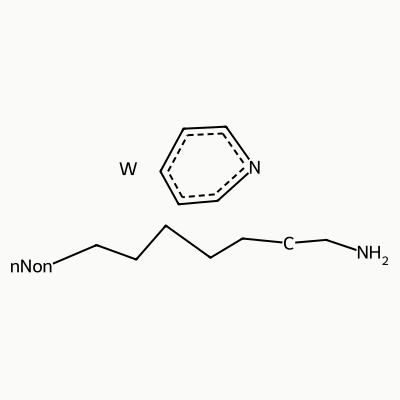 CCCCCCCCCCCCCCCCN.[W].c1ccncc1